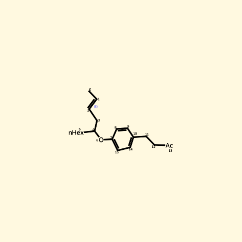 C/C=C/CC(CCCCCC)Oc1ccc(CCC(C)=O)cc1